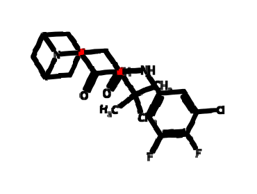 CC(C)(C)NC(=O)CN1C2CC1CN(CC(=O)Nc1cc(F)c(F)c(Cl)c1)C2